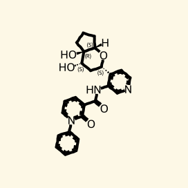 O=C(Nc1cnccc1[C@@H]1C[C@H](O)[C@]2(O)CCC[C@@H]2O1)c1cccn(-c2ccccc2)c1=O